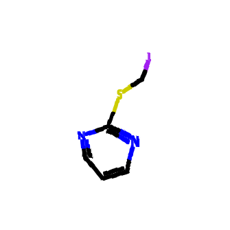 ICSc1ncccn1